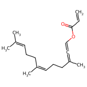 C=CC(=O)OC=C=C(C)CCC=C(C)CCC=C(C)C